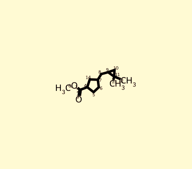 COC(=O)C1CCC(CC2CC2(C)C)C1